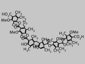 COc1c(C)c(OC(=O)c2c(C)c(C)c(OC(=O)c3c(C)cc(O)c(Cc4c(C)c(C(=O)Oc5c(C)c(C)c(C(=O)Oc6c(C)c(C)c(C(=O)O)c(OC)c6C)c(OC)c5C)c(O)c(C)c4O)c3O)c(C)c2OC)c(C)c(C)c1C(=O)O